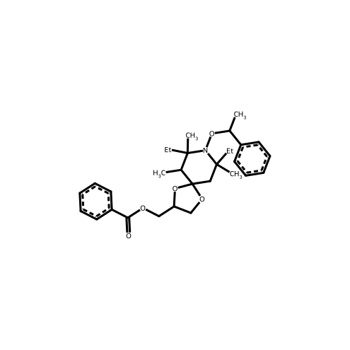 CCC1(C)CC2(OCC(COC(=O)c3ccccc3)O2)C(C)C(C)(CC)N1OC(C)c1ccccc1